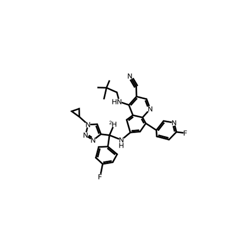 [2H]C(Nc1cc(-c2ccc(F)nc2)c2ncc(C#N)c(NCC(C)(C)C)c2c1)(c1ccc(F)cc1)c1cn(C2CC2)nn1